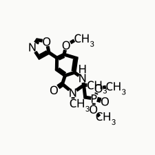 COc1cc2c(cc1-c1cnco1)C(=O)N(C)C(C)(CP(=O)(OC)OC)N2